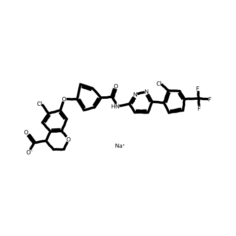 O=C(Nc1ccc(-c2ccc(C(F)(F)F)cc2Cl)nn1)c1ccc(Oc2cc3c(cc2Cl)C(C(=O)[O-])CCO3)cc1.[Na+]